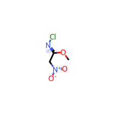 CO/C(C[N+](=O)[O-])=N\Cl